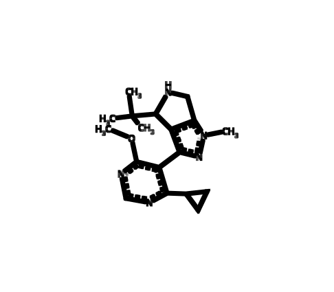 COc1ncnc(C2CC2)c1-c1nn(C)c2c1C(C(C)(C)C)NC2